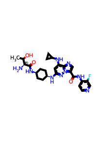 CC(O)[C@@H](N)C(=O)N[C@H]1CC[C@H](Nc2cc(NC3CC3)c3ncc(C(=O)Nc4ccncc4F)n3n2)CC1